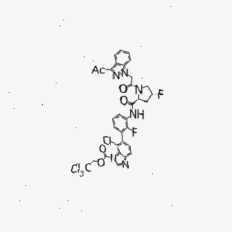 CC(=O)c1nn(CC(=O)N2C[C@H](F)C[C@H]2C(=O)Nc2cccc(-c3ccc4ncn(C(=O)OCC(Cl)(Cl)Cl)c4c3Cl)c2F)c2ccccc12